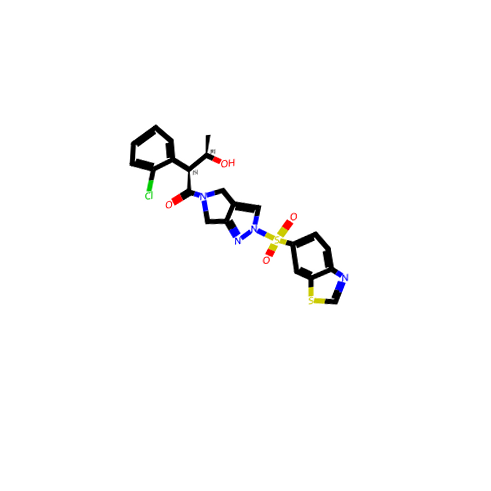 C[C@@H](O)[C@@H](C(=O)N1Cc2cn(S(=O)(=O)c3ccc4ncsc4c3)nc2C1)c1ccccc1Cl